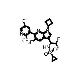 O=S(=O)(N[C@@H](c1cn(C2CCC2)c2nc(-c3cc(Cl)cnc3C(F)(F)F)c(F)cc12)C(F)F)C1CC1